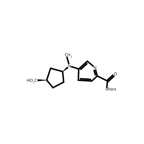 CCCCCC(=O)c1ccc(N(C)[C@H]2CC[C@@H](C(=O)O)C2)cn1